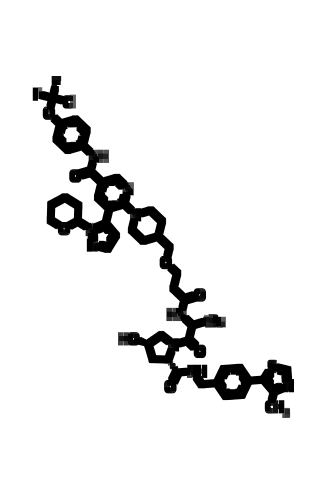 Cc1ncsc1-c1ccc(CNC(=O)[C@@H]2C[C@@H](O)CN2C(=O)C(NC(=O)CCOCC2CCN(c3ncc(C(=O)Nc4ccc(OC(F)(F)Cl)cc4)cc3-c3ccnn3C3CCCCO3)CC2)C(C)(C)C)cc1